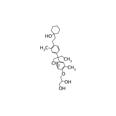 CCC(CC)(c1ccc(CCC2(O)CCCCC2)c(C)c1)c1ccc(OCC(O)CO)c(C)c1